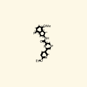 CCOc1ccc(-c2cncc(C(=O)NC3Cc4c(F)ccc(OC)c4C3)n2)cn1